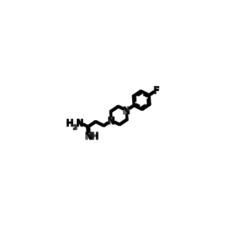 N=C(N)CCN1CCN(c2ccc(F)cc2)CC1